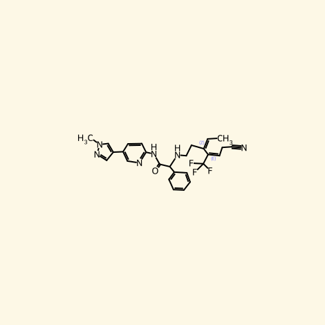 C/C=C(CCNC(C(=O)Nc1ccc(-c2cnn(C)c2)cn1)c1ccccc1)\C(=C/CC#N)C(F)(F)F